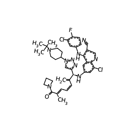 C=C(/C=C\C=C(/C)C(=O)N1CCC1)[C@H](Nc1cc(Cl)c2ncc(C#N)c(Nc3ccc(F)c(Cl)c3)c2c1)c1cn(C2CCN(C(C)(C)C)CC2)nn1